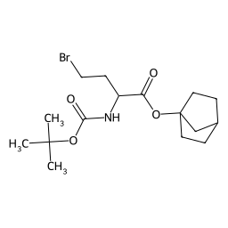 CC(C)(C)OC(=O)NC(CCBr)C(=O)OC12CCC(CC1)C2